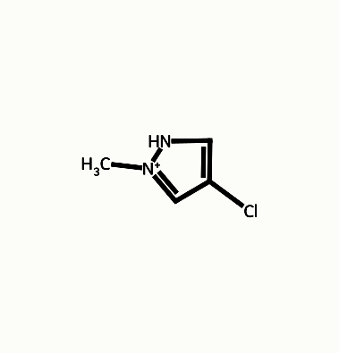 C[n+]1cc(Cl)c[nH]1